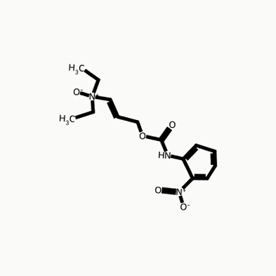 CC[N+]([O-])(/C=C/COC(=O)Nc1ccccc1[N+](=O)[O-])CC